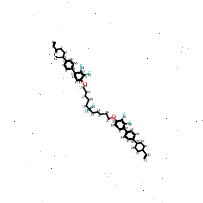 C=CC1CCC(c2ccc(-c3ccc(OCCCCCC(F)(F)CCCCCOc4ccc(-c5ccc(C6CCC(C=C)CC6)cc5)c(F)c4F)c(F)c3F)cc2)CC1